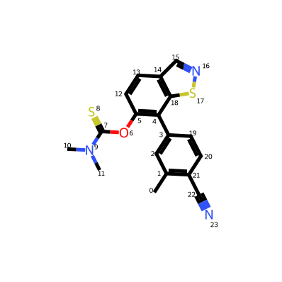 Cc1cc(-c2c(OC(=S)N(C)C)ccc3cnsc23)ccc1C#N